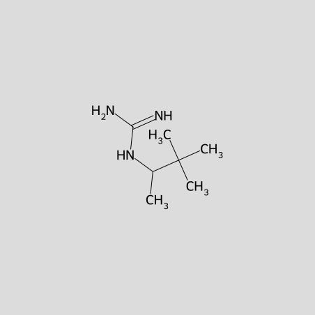 CC(NC(=N)N)C(C)(C)C